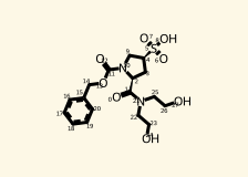 O=C([C@@H]1C[C@H](S(=O)(=O)O)CN1C(=O)OCc1ccccc1)N(CCO)CCO